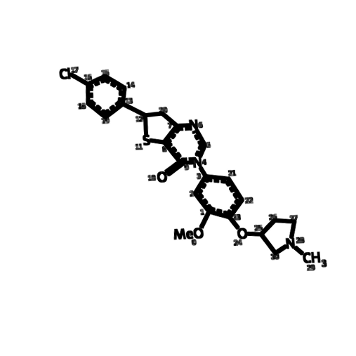 COc1cc(-n2cnc3c(c2=O)SC(c2ccc(Cl)cc2)C3)ccc1OC1CCN(C)C1